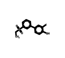 CCS(=O)(=O)c1cccc(-c2ccc(O)c(I)c2)c1